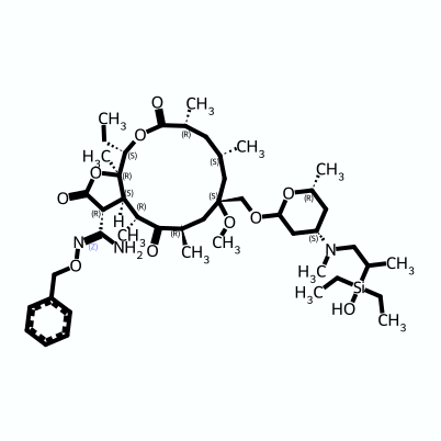 CC[C@@H]1OC(=O)[C@H](C)C[C@H](C)C[C@](COC2C[C@@H](N(C)CC(C)[Si](O)(CC)CC)C[C@@H](C)O2)(OC)C[C@@H](C)C(=O)[C@H](C)[C@H]2[C@H](/C(N)=N/OCc3ccccc3)C(=O)O[C@]21C